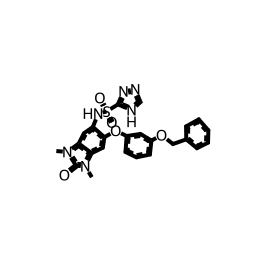 Cn1c(=O)n(C)c2cc(Oc3cccc(OCc4ccccc4)c3)c(NS(=O)(=O)c3nnc[nH]3)cc21